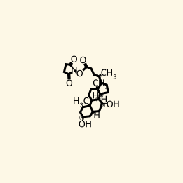 C[C@H](CCC(=O)ON1C(=O)CCC1=O)C1CC[C@H]2[C@H]3C(CCC12C)C1(C)CC[C@@H](O)C[C@@H]1C[C@@H]3O